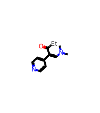 CCC(=O)C(=CN(C)C)c1ccncc1